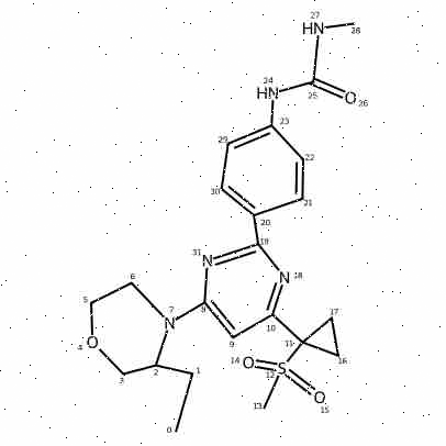 CCC1COCCN1c1cc(C2(S(C)(=O)=O)CC2)nc(-c2ccc(NC(=O)NC)cc2)n1